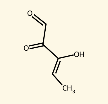 CC=C(O)C(=O)C=O